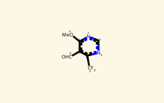 COc1ncnc(C(F)(F)F)c1C=O